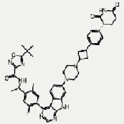 Cc1cc(-c2ncnc3[nH]c4cc(N5CCN(C6CC(c7ccc([C@H]8CCC(=O)NC8=O)cc7)C6)CC5)ccc4c23)c(F)cc1[C@@H](C)NC(=O)c1noc(C(C)(C)C)n1